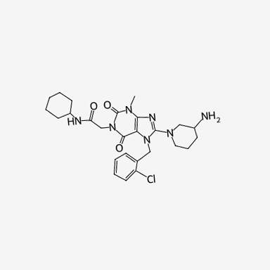 Cn1c(=O)n(CC(=O)NC2CCCCC2)c(=O)c2c1nc(N1CCCC(N)C1)n2Cc1ccccc1Cl